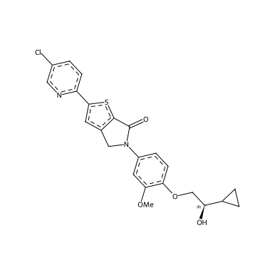 COc1cc(N2Cc3cc(-c4ccc(Cl)cn4)sc3C2=O)ccc1OC[C@H](O)C1CC1